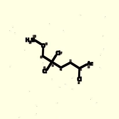 CC(=O)C(Cl)CCC(Cl)(Cl)CO[SiH3]